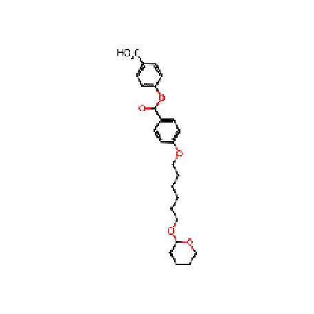 O=C(O)c1ccc(OC(=O)c2ccc(OCCCCCCOC3CCCCO3)cc2)cc1